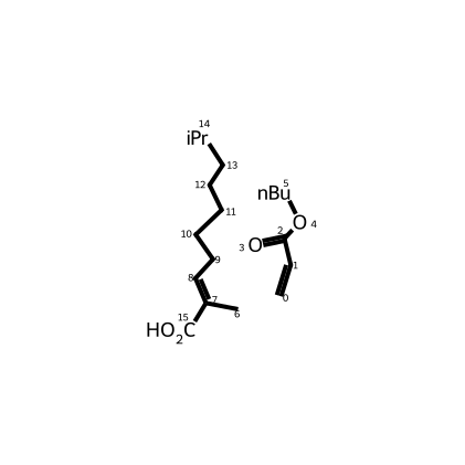 C=CC(=O)OCCCC.CC(=CCCCCCC(C)C)C(=O)O